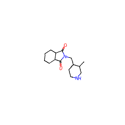 CC1CNCCC1CN1C(=O)C2CCCCC2C1=O